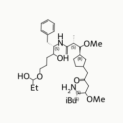 C=C(N[C@@H](Cc1ccccc1)C(O)CCCOC(O)CC)[C@H](C)C(OC)[C@@H]1CCC(CC(=O)CC(OC)[C@@H](N)[C@@H](C)CC)C1